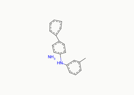 Cc1cccc(Nc2ccc(-c3ccccc3)cc2)c1.N